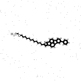 CCOCCCCCCCCCCCCc1cc2c(s1)-c1ccc3c4c(ccc-2c14)-c1cc(-c2ccccc2)ccc1-3